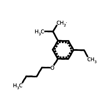 [CH2]C(C)c1cc(CC)cc(OCCCC)c1